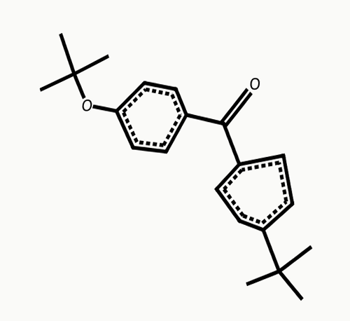 CC(C)(C)Oc1ccc(C(=O)c2ccc(C(C)(C)C)cc2)cc1